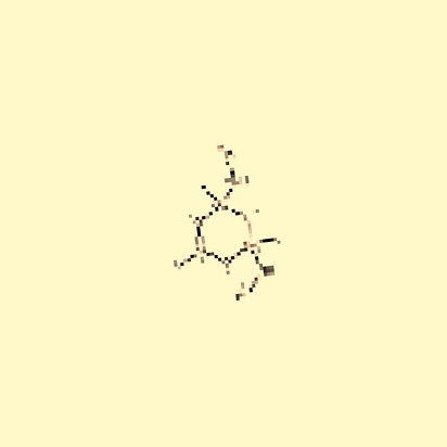 CC(C)N[Si]1(C)O[SiH](C)O[Si](C)(NC(C)C)O1